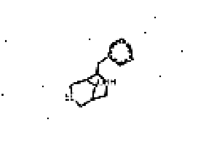 O=C1C2CNC(Cc3ccccc3)C1C[Se]C2